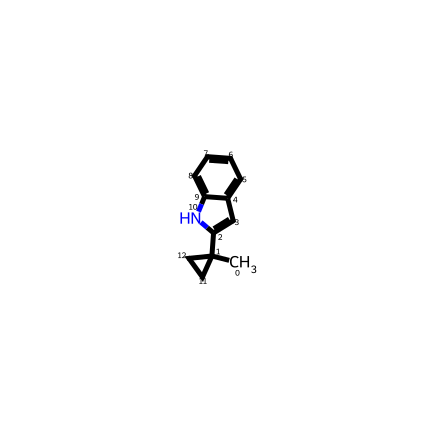 CC1(c2cc3ccccc3[nH]2)CC1